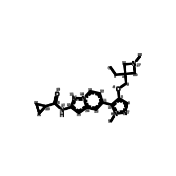 CCC1(COc2cnn(C)c2-c2ccn3nc(NC(=O)C4CC4)cc3c2)CN(C)C1